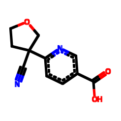 N#CC1(c2ccc(C(=O)O)cn2)CCOC1